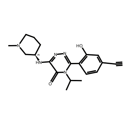 C#Cc1ccc(-c2nnc(N[C@@H]3CCCN(C)C3)c(=O)n2C(C)C)c(O)c1